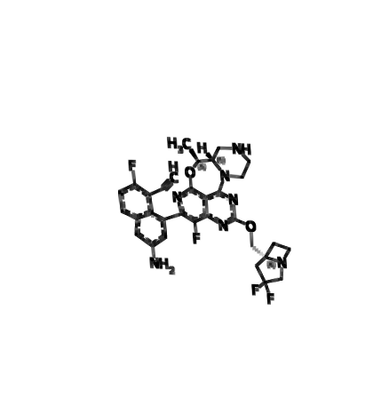 C#Cc1c(F)ccc2cc(N)cc(-c3nc4c5c(nc(OC[C@]67CCN6CC(F)(F)C7)nc5c3F)N3CCNC[C@H]3[C@H](C)O4)c12